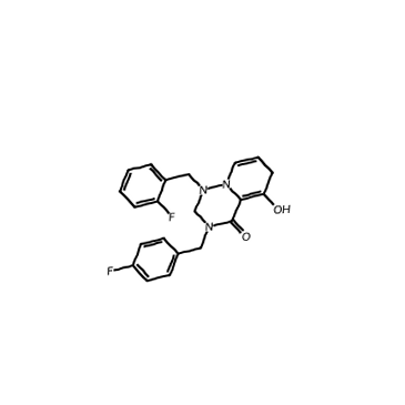 O=C1C2=C(O)CC=CN2N(Cc2ccccc2F)CN1Cc1ccc(F)cc1